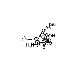 CC(C)(C)SSCO[C@@H]1C[C@H](n2cc(C#CCN)c3c(N)ncnc32)OC1OP(=O)(O)OP(=O)(O)OP(=O)(O)O